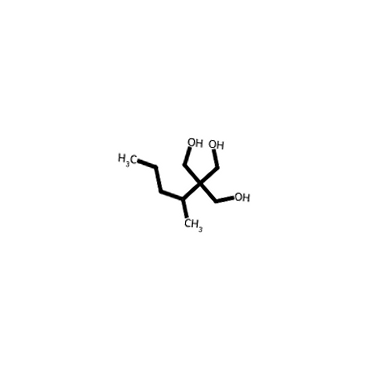 CCCC(C)C(CO)(CO)CO